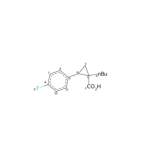 CCCCC1(C(=O)O)CC1c1ccc(F)cc1